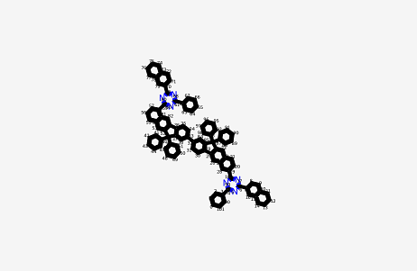 c1ccc(-c2nc(-c3ccc4ccccc4c3)nc(-c3ccc4cc5c(cc4c3)-c3ccc(-c4ccc6c(c4)C(c4ccccc4)(c4ccccc4)c4cc7cccc(-c8nc(-c9ccccc9)nc(-c9ccc%10ccccc%10c9)n8)c7cc4-6)cc3C5(c3ccccc3)c3ccccc3)n2)cc1